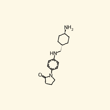 N[C@H]1CC[C@H](CNc2ccc(N3CCCC3=O)cc2)CC1